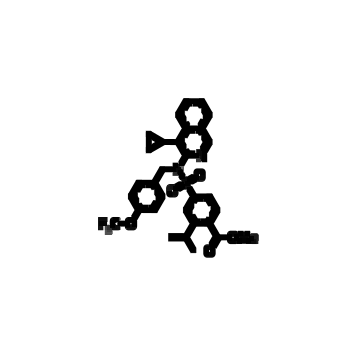 C=C(C)c1cc(S(=O)(=O)N(Cc2ccc(OC(F)(F)F)cc2)c2ncc3ccccc3c2C2CC2)ccc1C(=O)OC